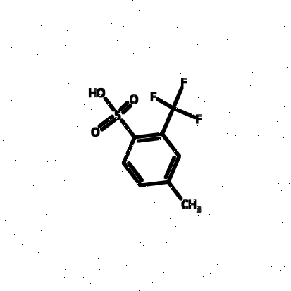 Cc1ccc(S(=O)(=O)O)c(C(F)(F)F)c1